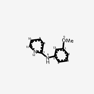 COc1cccc(Nc2ccccn2)c1